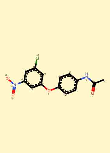 CC(=O)Nc1ccc(Oc2cc(Cl)cc([N+](=O)[O-])c2)cc1